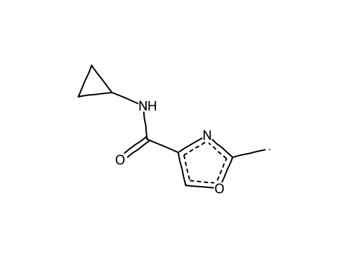 [CH2]c1nc(C(=O)NC2CC2)co1